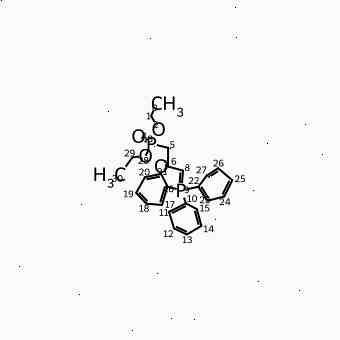 CCOP(=O)(CC(=O)C=P(c1ccccc1)(c1ccccc1)c1ccccc1)OCC